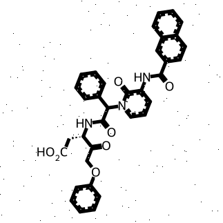 O=C(O)C[C@H](NC(=O)C(c1ccccc1)n1cccc(NC(=O)c2ccc3ccccc3c2)c1=O)C(=O)COc1ccccc1